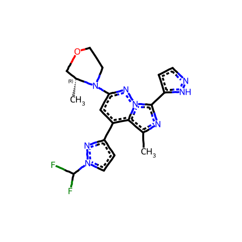 Cc1nc(-c2ccn[nH]2)n2nc(N3CCOC[C@H]3C)cc(-c3ccn(C(F)F)n3)c12